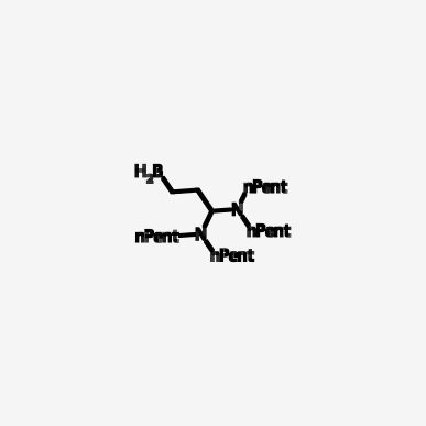 BCCC(N(CCCCC)CCCCC)N(CCCCC)CCCCC